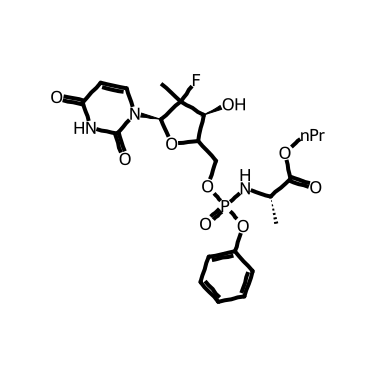 CCCOC(=O)[C@H](C)NP(=O)(OCC1O[C@@H](n2ccc(=O)[nH]c2=O)C(C)(F)[C@H]1O)Oc1ccccc1